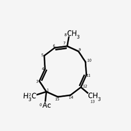 CC(=O)C1(C)/C=C/C/C=C(/C)CC/C=C(/C)CC1